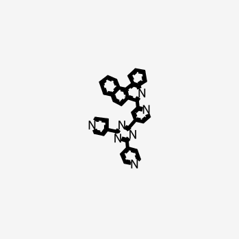 c1ccc2c(c1)ccc1c(-c3cc(-c4nc(-c5ccncc5)nc(-c5ccncc5)n4)ccn3)nc3ccccc3c12